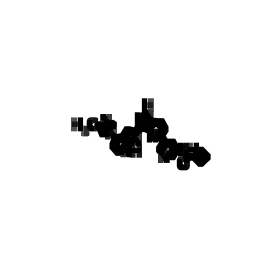 Cc1cn(-c2ccnc3[nH]c(-c4n[nH]c5ccc(-c6cncc(NC(=O)C7CCC7)c6)nc45)cc23)cn1